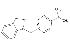 CC(C)c1ccc(CN2[CH]Cc3ccccc32)cc1